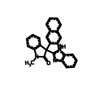 CN1C(=O)C(c2nc3ccccc3[nH]2)(c2cc3ccccc3cc2O)c2ccccc21